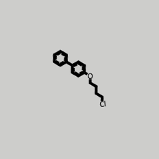 ClCCCCOc1ccc(-c2ccccc2)cc1